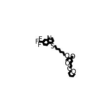 O=c1cc(COC2CCCCO2)occ1OCCCCCCSc1ccnc2cc(C(F)(F)F)ccc12